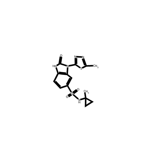 Cc1nnc(-n2c(=O)[nH]c3ccc(S(=O)(=O)NC4(C)CC4)cc32)s1